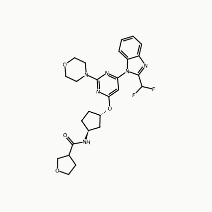 O=C(N[C@H]1CC[C@H](Oc2cc(-n3c(C(F)F)nc4ccccc43)nc(N3CCOCC3)n2)C1)C1CCOC1